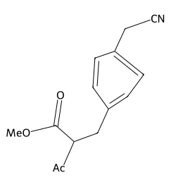 COC(=O)C(Cc1ccc(CC#N)cc1)C(C)=O